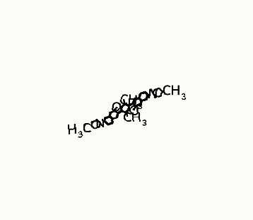 Cc1c2oc3cc4cc(N5CCC(C)CC5)ccc4cc3c2c(C)c2oc3cc4cc(N5CCC(C)CC5)ccc4cc3c12